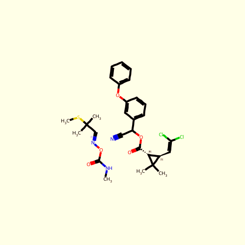 CC1(C)[C@H](C=C(Cl)Cl)[C@H]1C(=O)OC(C#N)c1cccc(Oc2ccccc2)c1.CNC(=O)O/N=C/C(C)(C)SC